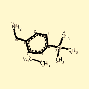 CC.C[Si](C)(C)c1ccc(CN)cc1